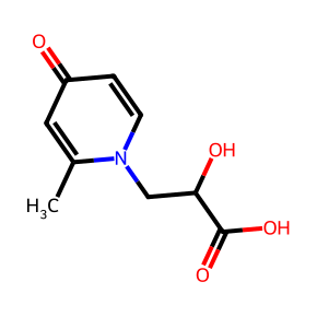 Cc1cc(=O)ccn1CC(O)C(=O)O